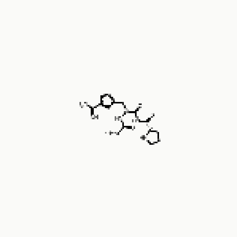 CCCCCCCC(=O)N[C@@H](Cc1cc(C(=N)N)cs1)C(=O)NC(=O)[C@@H]1CCCN1